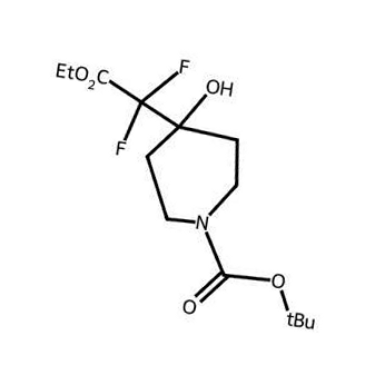 CCOC(=O)C(F)(F)C1(O)CCN(C(=O)OC(C)(C)C)CC1